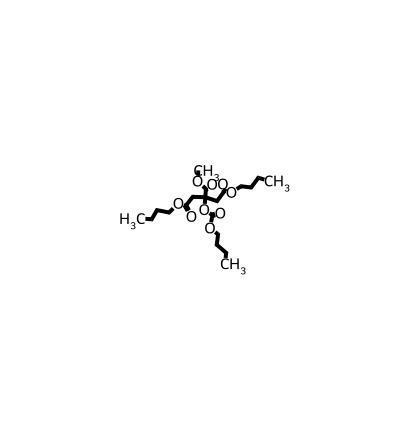 CCCCOC(=O)CC(CC(=O)OCCCC)(OC(=O)OCCCC)C(=O)OC